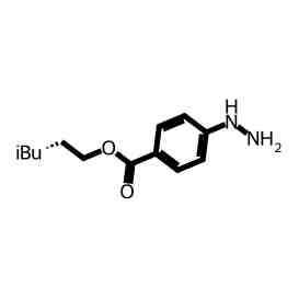 CC[C@@H](C)CCOC(=O)c1ccc(NN)cc1